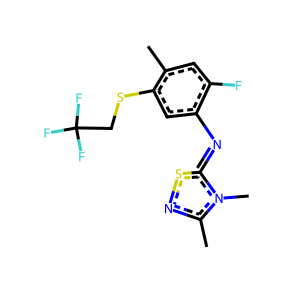 Cc1cc(F)c(/N=c2\snc(C)n2C)cc1SCC(F)(F)F